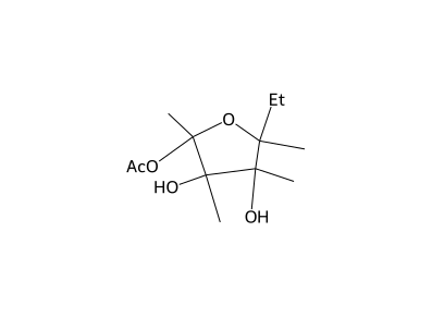 CCC1(C)OC(C)(OC(C)=O)C(C)(O)C1(C)O